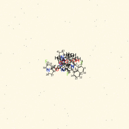 CC(C)[Si](C#Cc1c(F)ccc2cccc(-c3nc4c5c(nc(OC[C@@]67CCCN6C[C@H](F)C7)nc5c3F)N3C[C@H]5CC[C@@H]([C@H]3C[C@H]4O)N5C(=O)OC(C)(C)C)c12)(C(C)C)C(C)C